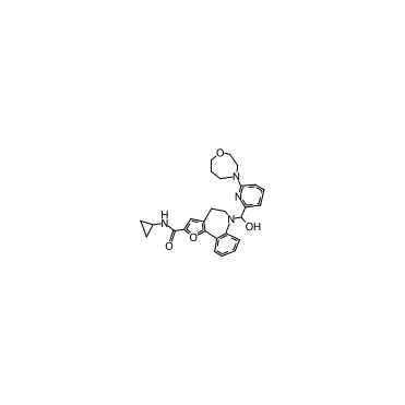 O=C(NC1CC1)c1cc2c(o1)-c1ccccc1N(C(O)c1cccc(N3CCCOCC3)n1)CC2